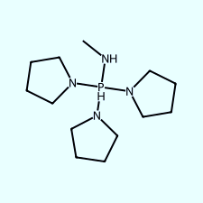 CN[PH](N1CCCC1)(N1CCCC1)N1CCCC1